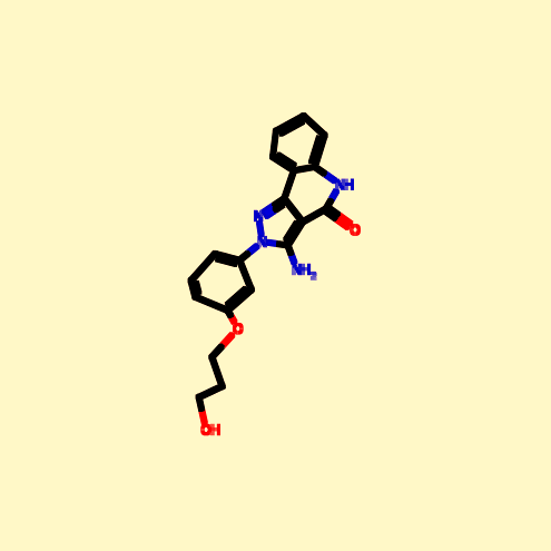 Nc1c2c(=O)[nH]c3ccccc3c2nn1-c1cccc(OCCCO)c1